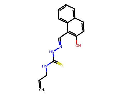 C=CCNC(=S)NN=Cc1c(O)ccc2ccccc12